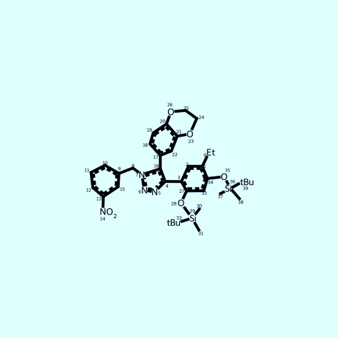 CCc1cc(-c2nnn(Cc3cccc([N+](=O)[O-])c3)c2-c2ccc3c(c2)OCCO3)c(O[Si](C)(C)C(C)(C)C)cc1O[Si](C)(C)C(C)(C)C